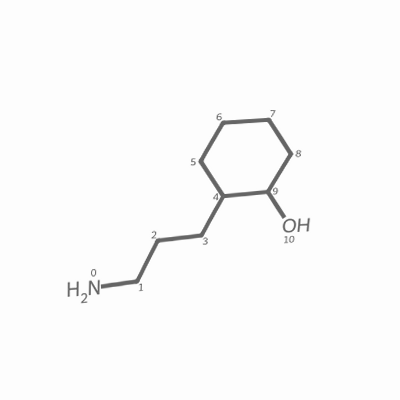 NCCCC1CCCCC1O